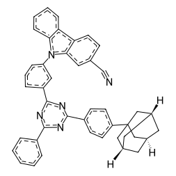 N#Cc1ccc2c3ccccc3n(-c3cccc(-c4nc(-c5ccccc5)nc(-c5ccc(C67C[C@H]8C[C@@H](C6)C[C@@H](C7)C8)cc5)n4)c3)c2c1